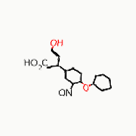 O=NC1CC(C(/C=C/O)CC(=O)O)CCC1OC1CCCCC1